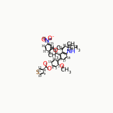 COc1cc(OC(=O)c2ccsc2)ccc1-c1ccc2c(c1COc1cc([N+](=O)[O-])ccc1C)C(C)=CC(C)(C)N2